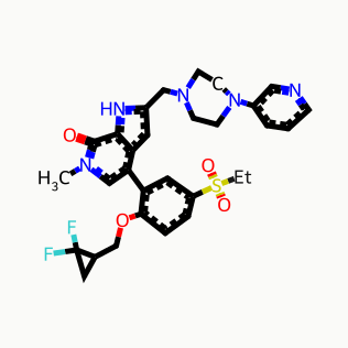 CCS(=O)(=O)c1ccc(OCC2CC2(F)F)c(-c2cn(C)c(=O)c3[nH]c(CN4CCN(c5cccnc5)CC4)cc23)c1